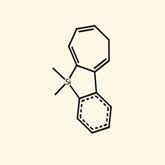 C[Si]1(C)C2=CC=CCC=C2c2ccccc21